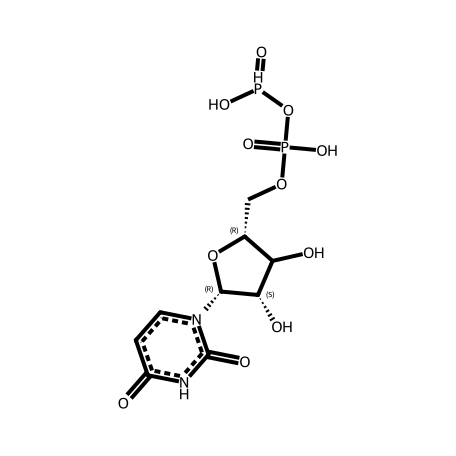 O=c1ccn([C@@H]2O[C@H](COP(=O)(O)O[PH](=O)O)C(O)[C@@H]2O)c(=O)[nH]1